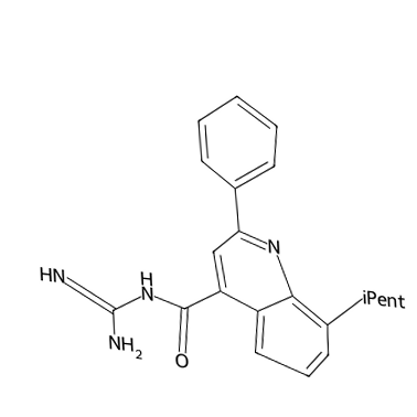 CCCC(C)c1cccc2c(C(=O)NC(=N)N)cc(-c3ccccc3)nc12